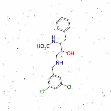 O=C(O)NC(Cc1ccccc1)C(O)CNCc1cc(Cl)cc(Cl)c1